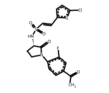 CC(=O)c1ccc(N2CC[C@H](NS(=O)(=O)C=Cc3ccc(Cl)s3)C2=O)c(F)c1